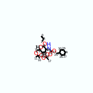 C=CCO[C@H]1O[C@@H]2COC(C)(C)O[C@H]2[C@H](OC(C)=O)[C@H]1NC(=O)OCc1ccccc1